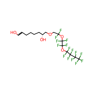 OC=CCCCC[C@@H](O)COCC(F)(F)OC(F)(F)C(F)(F)OC(F)(F)C(F)(F)C(F)(F)C(F)(F)F